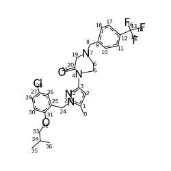 Cc1cc(N2CCN(Cc3ccc(C(F)(F)F)cc3)CC2=O)nn1Cc1cc(Cl)ccc1OCC(C)C